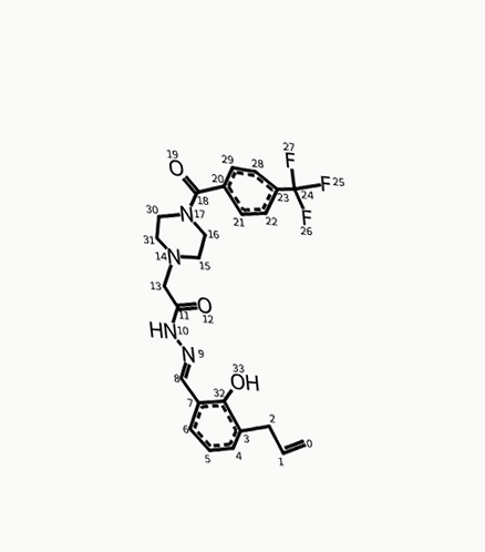 C=CCc1cccc(C=NNC(=O)CN2CCN(C(=O)c3ccc(C(F)(F)F)cc3)CC2)c1O